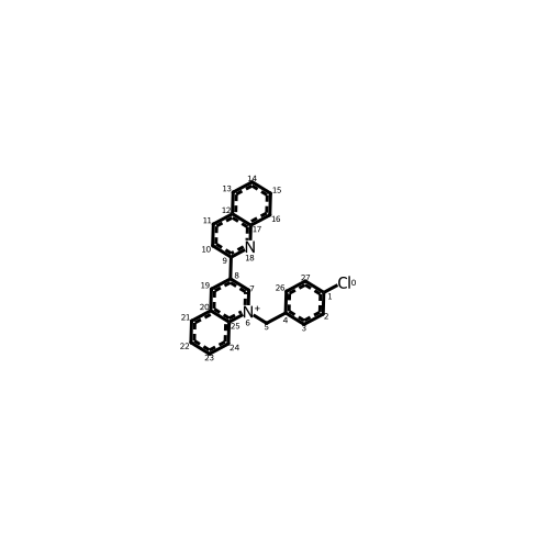 Clc1ccc(C[n+]2cc(-c3ccc4ccccc4n3)cc3ccccc32)cc1